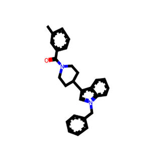 Cc1cccc(C(=O)N2CCC(c3cn(Cc4ccccc4)c4ccccc34)CC2)c1